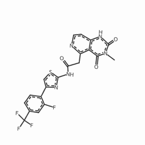 Cn1c(=O)[nH]c2ccnc(CC(=O)Nc3nc(-c4ccc(C(F)(F)F)cc4F)cs3)c2c1=O